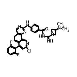 CN(C)C1CN(C(=N)NC(=O)c2ccc(Nc3ncc4c(n3)C3=CN=C(Cl)C=C(c5c(F)cccc5F)C3=CC4)cc2)C1